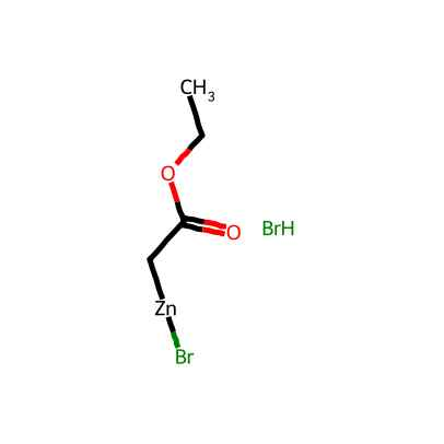 Br.CCOC(=O)[CH2][Zn][Br]